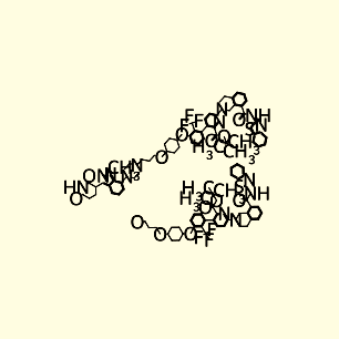 CC(C)(C)OC(=O)c1nc(N2CCc3cccc(C(=O)Nc4nc5ccccc5s4)c3C2)ccc1-c1cccc(OC2CCC(OCCC=O)CC2)c1C(F)(F)F.Cn1nc(C2CCC(=O)NC2=O)c2cccc(N3CCN(CCCOC4CCC(Oc5cccc(-c6ccc(N7CCc8cccc(C(=O)Nc9nc%10ccccc%10s9)c8C7)nc6C(=O)OC(C)(C)C)c5C(F)(F)F)CC4)CC3)c21